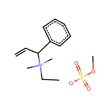 C=CC(c1ccccc1)[N+](C)(C)CC.COS(=O)(=O)[O-]